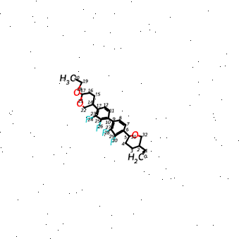 C=CC1CCC(c2ccc(-c3ccc(C4CCC(OCC)OC4)c(F)c3F)c(F)c2F)OC1